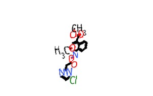 CO/C=C(/C(=O)OC)c1ccccc1/C=N/OC(=O)Cc1nccc(Cl)n1